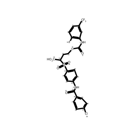 O=C(Nc1cc(C(F)(F)F)ccc1F)OCCC(C(=O)O)S(=O)(=O)c1ccc(NC(=O)c2ccc(Cl)cc2)cc1